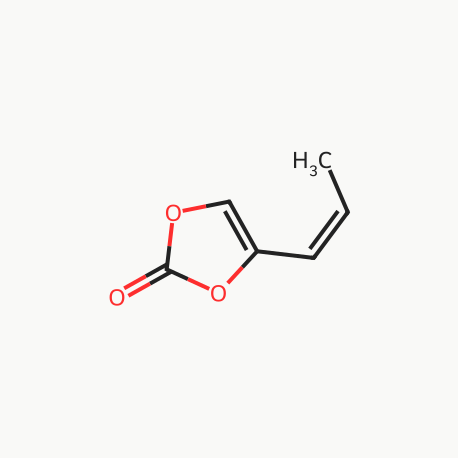 C/C=C\c1coc(=O)o1